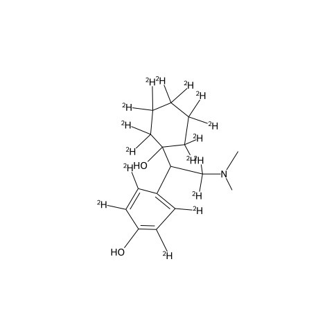 [2H]c1c([2H])c(C(C([2H])([2H])N(C)C)C2(O)C([2H])([2H])C([2H])([2H])C([2H])([2H])C([2H])([2H])C2([2H])[2H])c([2H])c([2H])c1O